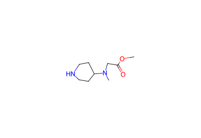 COC(=O)CN(C)C1CCNCC1